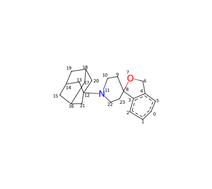 c1ccc2c(c1)COC21CCN(C23CC4CC(CC(C4)C2)C3)CC1